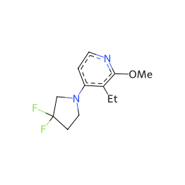 CCc1c(N2CCC(F)(F)C2)ccnc1OC